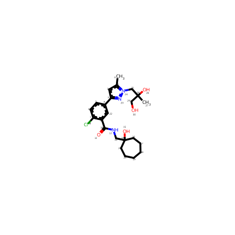 Cc1cc(-c2ccc(Cl)c(C(=O)NCC3(O)CCCCCC3)c2)nn1CC(C)(O)CO